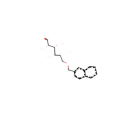 O=C[C@H](O)[C@@H](O)[C@H](O)[C@H](O)COCc1ccc2ccccc2c1